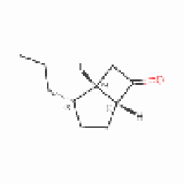 CCC[C@H]1CC[C@H]2C(=O)C[C@@H]12